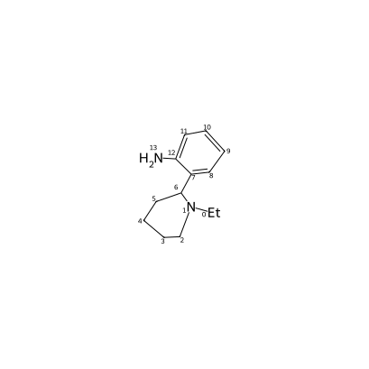 CCN1CCCCC1c1ccccc1N